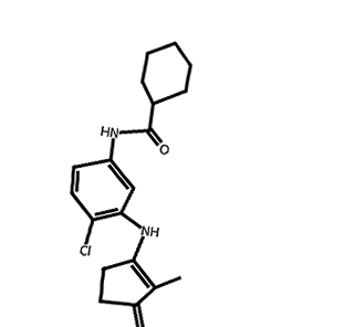 CC1=C(Nc2cc(NC(=O)C3CCCCC3)ccc2Cl)CCC1=O